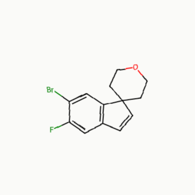 Fc1cc2c(cc1Br)C1(C=C2)CCOCC1